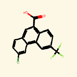 O=C(O)c1cc2ccc(Cl)cc2c2cc(C(F)(F)F)ccc12